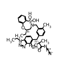 CC[C@@H]1CN(Cc2cc([C@@H](c3ccc4c(nnn4CC)c3C)C(C)(C)C(=O)N=[N+]=[N-])ccc2C)S(O)(O)c2ccccc2O1